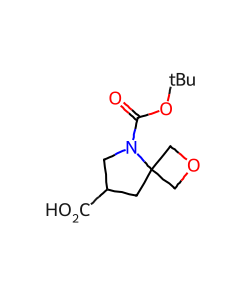 CC(C)(C)OC(=O)N1CC(C(=O)O)CC12COC2